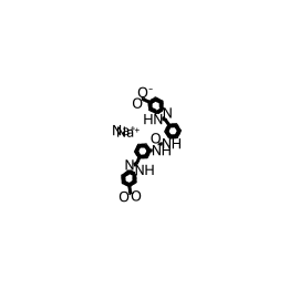 O=C(Nc1cccc(-c2nc3ccc(C(=O)[O-])cc3[nH]2)c1)Nc1cccc(-c2nc3ccc(C(=O)[O-])cc3[nH]2)c1.[Na+].[Na+]